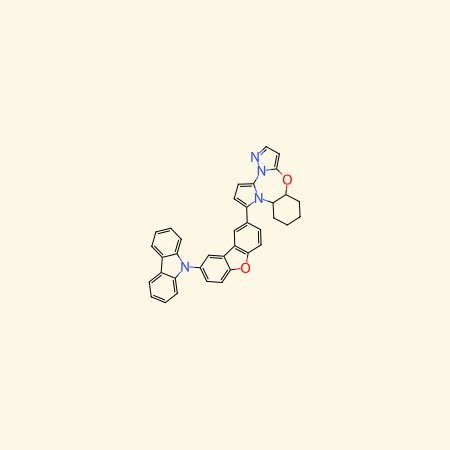 c1ccc2c(c1)c1ccccc1n2-c1ccc2oc3ccc(-c4ccc5n4C4CCCCC4Oc4ccnn4-5)cc3c2c1